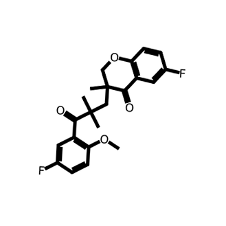 COc1ccc(F)cc1C(=O)C(C)(C)CC1(C)COc2ccc(F)cc2C1=O